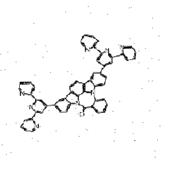 O=c1c2ccccc2n2c3ccc(-c4cc(-c5ccccn5)nc(-c5ccccn5)c4)cc3c3ccc4c5cc(-c6cc(-c7ccccn7)nc(-c7ccccn7)c6)ccc5n1c4c32